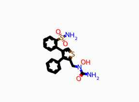 NC(=O)N(O)Cc1scc(-c2ccccc2S(N)(=O)=O)c1-c1ccccc1